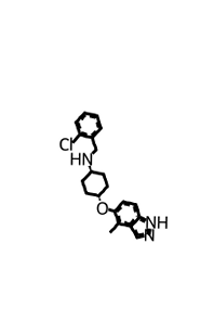 Cc1c(O[C@H]2CC[C@H](NCc3ccccc3Cl)CC2)ccc2[nH]ncc12